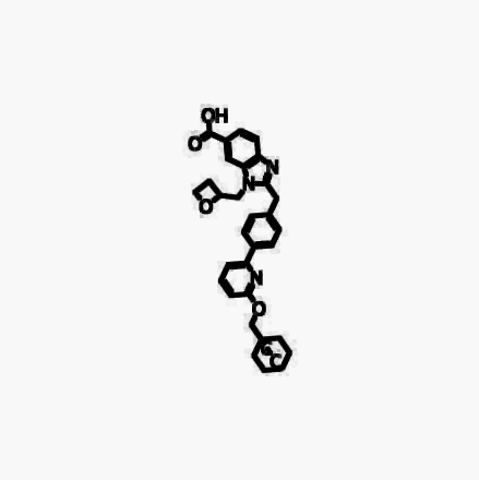 O=C(O)c1ccc2nc(Cc3ccc(-c4cccc(OCC56CCC(CC5)CC6)n4)cc3)n(CC3CCO3)c2c1